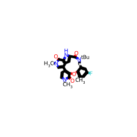 Cc1cc(F)cc2c1Oc1c(ccn(C)c1=O)-c1cn(C)c(=O)c3[nH]c(cc13)C(=O)N(C(C)(C)C)C2